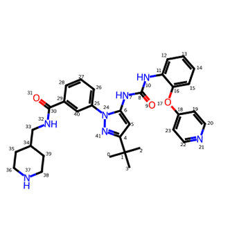 CC(C)(C)c1cc(NC(=O)Nc2ccccc2Oc2ccncc2)n(-c2cccc(C(=O)NCC3CCNCC3)c2)n1